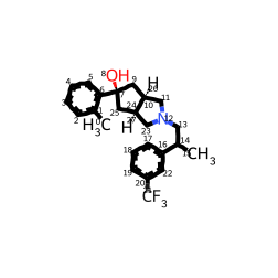 Cc1ccccc1[C@]1(O)C[C@H]2CN(CC(C)c3cccc(C(F)(F)F)c3)C[C@H]2C1